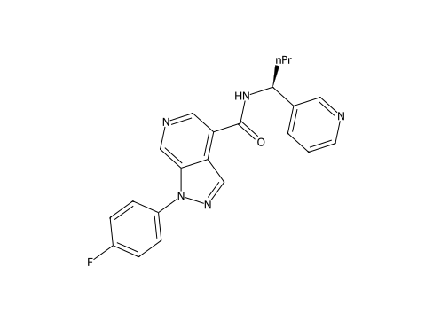 CCC[C@H](NC(=O)c1cncc2c1cnn2-c1ccc(F)cc1)c1cccnc1